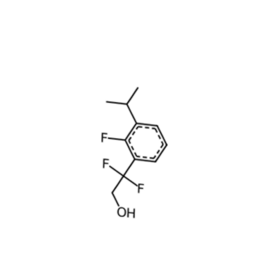 CC(C)c1cccc(C(F)(F)CO)c1F